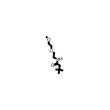 COCCOCCNC(=O)CC(C)(C)C